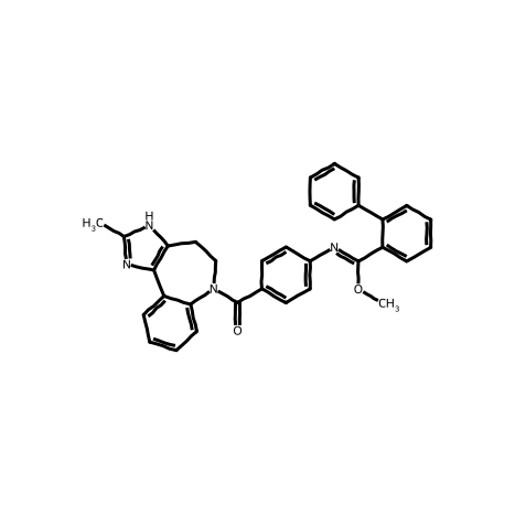 CO/C(=N\c1ccc(C(=O)N2CCc3[nH]c(C)nc3-c3ccccc32)cc1)c1ccccc1-c1ccccc1